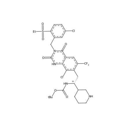 CCS(=O)(=O)c1ccc(Cl)cc1Cn1c(=O)[nH]c2c(Cl)c(C[C@@H](NC(=O)OC(C)(C)C)C3CCCNC3)c(C(F)(F)F)cc2c1=O